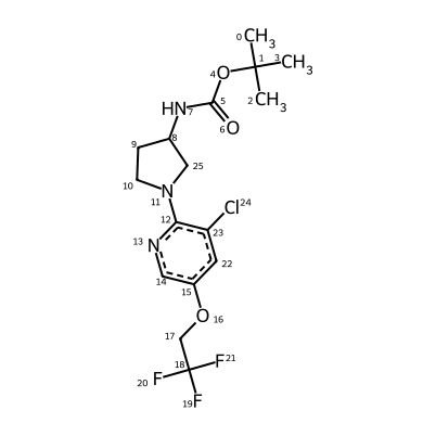 CC(C)(C)OC(=O)NC1CCN(c2ncc(OCC(F)(F)F)cc2Cl)C1